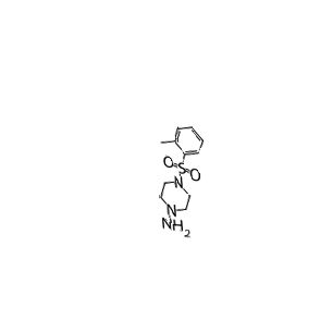 Cc1ccccc1S(=O)(=O)N1CCN(N)CC1